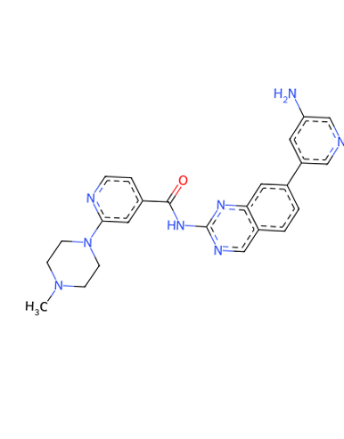 CN1CCN(c2cc(C(=O)Nc3ncc4ccc(-c5cncc(N)c5)cc4n3)ccn2)CC1